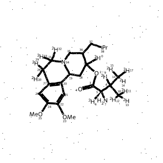 [2H]C1(OC(=O)[C@@]([2H])(N)C([2H])(C([2H])([2H])[2H])C([2H])([2H])[2H])CC2c3cc(OC)c(OC)cc3C([2H])([2H])C([2H])([2H])N2CC1CC(C)C